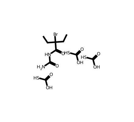 CCC(Br)(CC)C(=O)NC(N)=O.O=C(O)S.O=C(O)S.O=C(O)S